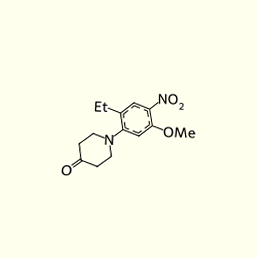 CCc1cc([N+](=O)[O-])c(OC)cc1N1CCC(=O)CC1